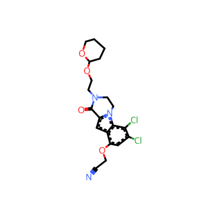 N#CCOc1cc(Cl)c(Cl)c2c1cc1n2CCN(CCOC2CCCCO2)C1=O